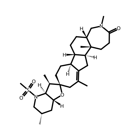 CC1=C2C[C@H]3[C@@H](CC[C@@H]4CN(C)C(=O)CC[C@@]43C)[C@@H]2CC[C@@]2(C1)O[C@@H]1C[C@H](C)CN(S(C)(=O)=O)[C@H]1[C@H]2C